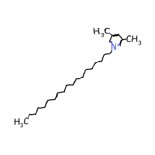 CCCCCCCCCCCCCCCCCCC[n+]1cc(C)cc(C)c1